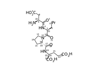 CC(C)C[C@H](NC(=O)[C@@H](N)CC(=O)O)C(=O)N1CCC[C@H]1C(=O)N[C@@H](CCC(=O)O)C(=O)O